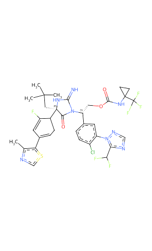 Cc1ncsc1C1=CCC([C@@]2(CC(C)(C)C)NC(=N)N([C@H](COC(=O)NC3(C(F)(F)F)CC3)c3ccc(Cl)c(-n4ncnc4C(F)F)c3)C2=O)C(F)=C1